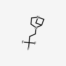 FC(F)(F)CCN1CCN2CC1C2